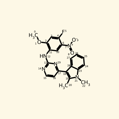 COc1cc(F)c([N+](=O)[O-])cc1Nc1nccc(-c2c(C)n(C)c3ccccc23)n1